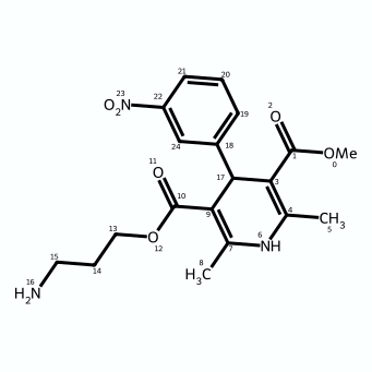 COC(=O)C1=C(C)NC(C)=C(C(=O)OCCCN)C1c1cccc([N+](=O)[O-])c1